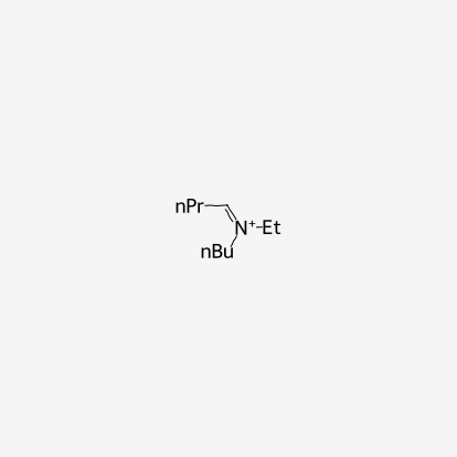 CCCC=[N+](CC)CCCC